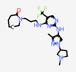 Cc1nn(C2CCN(C)C2)cc1Nc1ncc(C(F)(F)F)c(NCCCN2CCCCCC2=O)n1